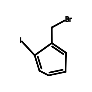 BrCc1ccccc1I